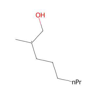 CCCCCC[C](C)CO